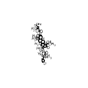 CC(C)C1=C2[C@H]3CC[C@@H]4[C@@]5(C)CC[C@H](OC(=O)[C@H]6C[C@@H](C(=O)O)C6(C)C)C(C)(C)[C@@H]5CC[C@@]4(C)[C@]3(C)CC[C@@]2([C@@H](O)CNC(=O)C(C)(C)NC(=O)c2cccc(Cl)c2)CC1=O